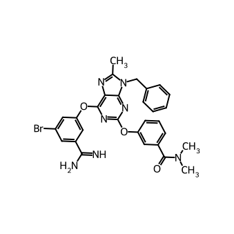 Cc1nc2c(Oc3cc(Br)cc(C(=N)N)c3)nc(Oc3cccc(C(=O)N(C)C)c3)nc2n1Cc1ccccc1